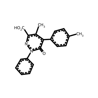 Cc1ccc(-c2c(C)c(C(=O)O)nn(-c3ccccc3)c2=O)cc1